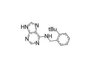 CC(C)(C)c1ccccc1CNc1ncnc2[nH]cnc12